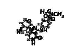 CN(C)S(=O)(=O)c1ccc(Nc2nn(C3(CC#N)COCCC3F)c3cc[nH]c(=O)c23)cc1